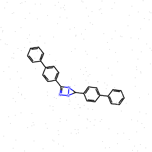 c1ccc(-c2ccc(-c3nn4n3C4c3ccc(-c4ccccc4)cc3)cc2)cc1